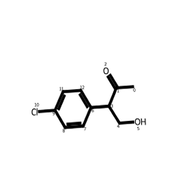 CC(=O)C(CO)c1ccc(Cl)cc1